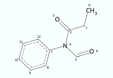 CCC(=O)N([C]=O)c1ccccc1